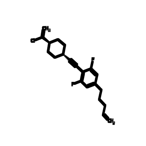 C=CCCCc1cc(F)c(C#C[C@H]2CC[C@H](C(=C)Cl)CC2)c(F)c1